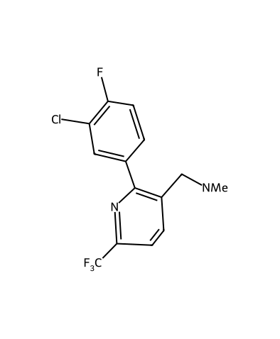 CNCc1ccc(C(F)(F)F)nc1-c1ccc(F)c(Cl)c1